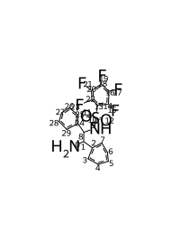 NC(c1ccccc1)C(NS(=O)(=O)c1c(F)c(F)c(F)c(F)c1F)c1ccccc1